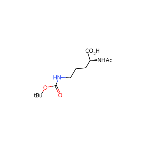 CC(=O)N[C@@H](CCCNC(=O)OC(C)(C)C)C(=O)O